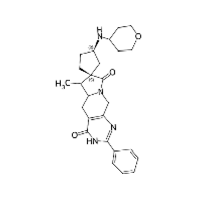 CC1C2Cc3c(nc(-c4ccccc4)[nH]c3=O)CN2C(=O)[C@]12CC[C@@H](NC1CCOCC1)C2